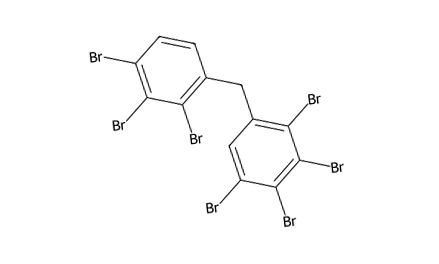 Brc1ccc(Cc2cc(Br)c(Br)c(Br)c2Br)c(Br)c1Br